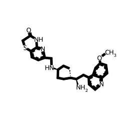 COc1ccc2nccc(C[C@@H](N)[C@H]3CC[C@H](NCc4ccc5c(n4)NC(=O)CS5)CC3)c2c1